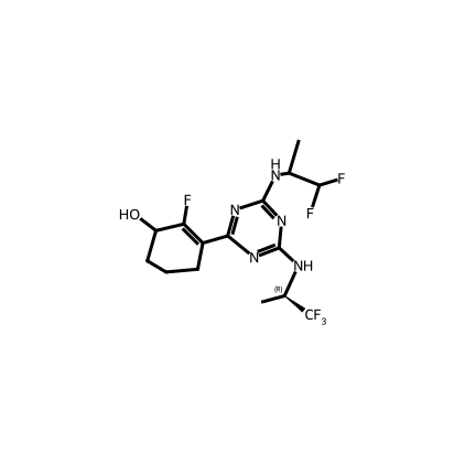 CC(Nc1nc(N[C@H](C)C(F)(F)F)nc(C2=C(F)C(O)CCC2)n1)C(F)F